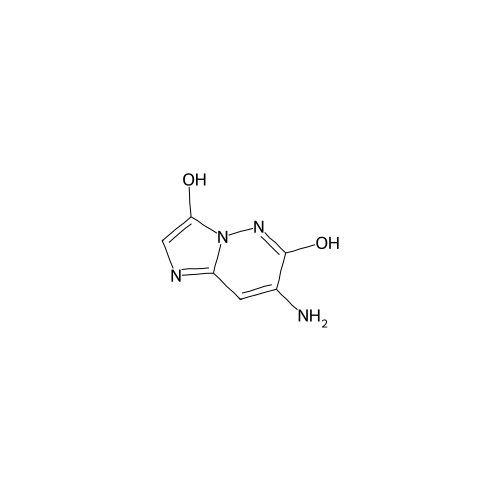 Nc1cc2ncc(O)n2nc1O